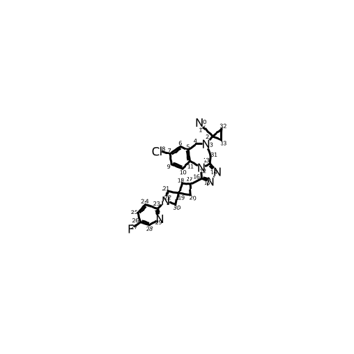 N#CC1(N2Cc3cc(Cl)ccc3-n3c(nnc3C3CC4(C3)CN(c3ccc(F)cn3)C4)C2)CC1